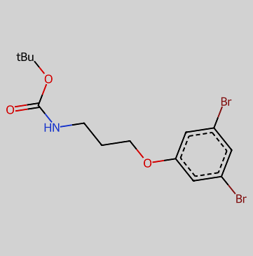 CC(C)(C)OC(=O)NCCCOc1cc(Br)cc(Br)c1